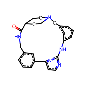 O=C1NCc2cccc(c2)-c2ccnc(n2)Nc2cccc(c2)CN2CCC1CC2